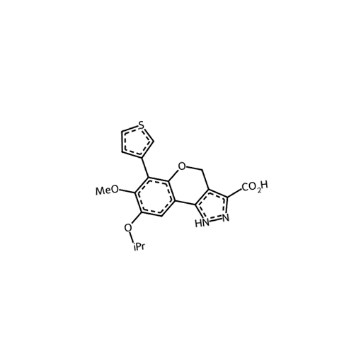 COc1c(OC(C)C)cc2c(c1-c1ccsc1)OCc1c(C(=O)O)n[nH]c1-2